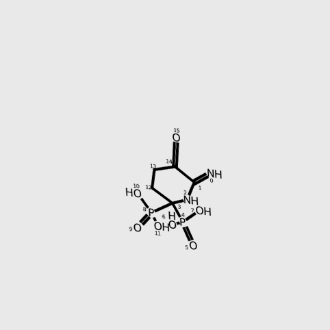 N=C1NC(P(=O)(O)O)(P(=O)(O)O)CCC1=O